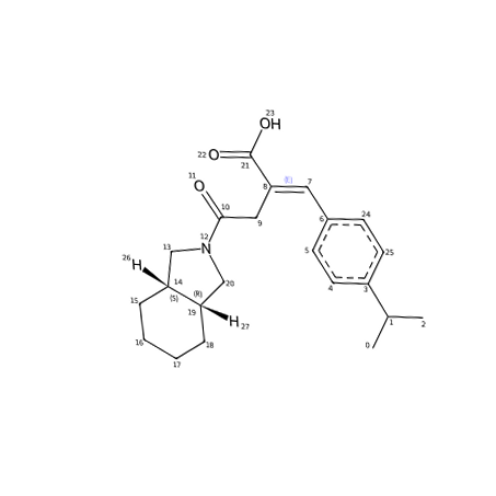 CC(C)c1ccc(/C=C(\CC(=O)N2C[C@H]3CCCC[C@H]3C2)C(=O)O)cc1